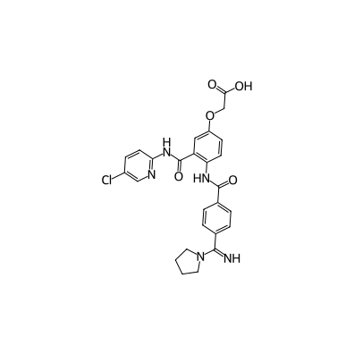 N=C(c1ccc(C(=O)Nc2ccc(OCC(=O)O)cc2C(=O)Nc2ccc(Cl)cn2)cc1)N1CCCC1